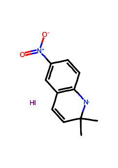 CC1(C)C=Cc2cc([N+](=O)[O-])ccc2[N]1.I